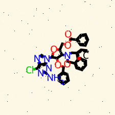 Nc1nc(Cl)c2ncn(C3OC(COC(=O)c4ccccc4)C(N(Cc4ccccc4)Cc4ccccc4)C3OC(=O)c3ccccc3)c2n1